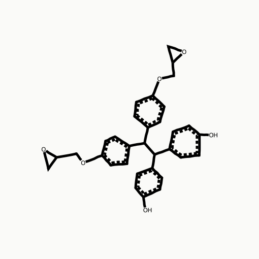 Oc1ccc(C(c2ccc(O)cc2)C(c2ccc(OCC3CO3)cc2)c2ccc(OCC3CO3)cc2)cc1